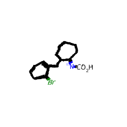 O=C(O)/N=C1\CCCCCC1Cc1ccccc1Br